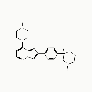 CCOC(=O)N1CCN(c2ccnn3cc(-c4ccc([C@@]5(C)CN(C(C)C)CCN5)cc4)cc23)CC1